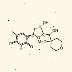 COC1(C(O)[C@H]2O[C@@H](n3cc(C)c(=O)[nH]c3=O)C[C@@H]2O)CCOCC1